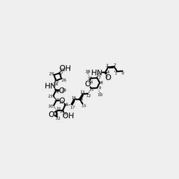 C[CH]/C=C\C(=O)N[C@@H]1C[C@H](C)[C@H](C/C=C(C)/C=C/[C@H]2O[C@H](CC(=O)N[C@H]3C[C@@H](O)C3)C[C@@]3(CO3)[C@@H]2O)O[C@@H]1C